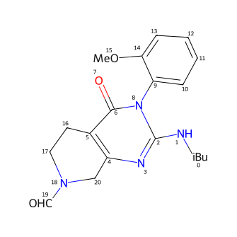 CCC(C)Nc1nc2c(c(=O)n1-c1ccccc1OC)CCN(C=O)C2